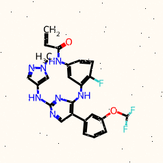 C=CC(=O)Nc1ccc(F)c(Nc2nc(Nc3cnn(C)c3)ncc2-c2cccc(OC(F)F)c2)c1